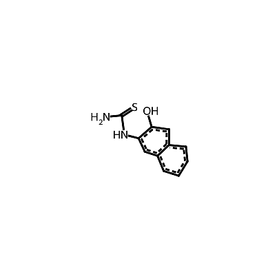 NC(=S)Nc1cc2ccccc2cc1O